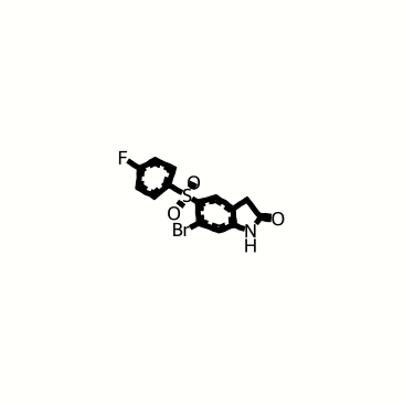 O=C1Cc2cc(S(=O)(=O)c3ccc(F)cc3)c(Br)cc2N1